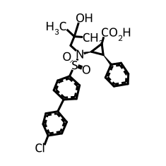 CC(C)(O)CN([C@H]1C(C(=O)O)[C@H]1c1ccccc1)S(=O)(=O)c1ccc(-c2ccc(Cl)cc2)cc1